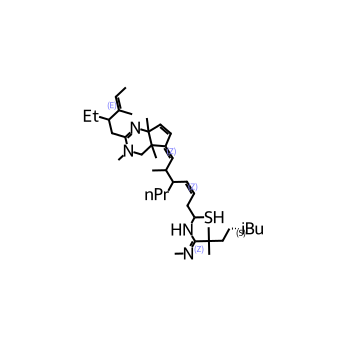 C/C=C(\C)C(CC)CC1=NC2(C)C=C/C(=C/C(C)C(/C=C\CC(S)N/C(=N\C)C(C)(C)CC[C@@H](C)CC)CCC)C2(C)CN1C